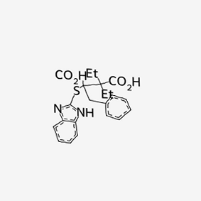 CCC(CC)(C(=O)O)C(Cc1ccccc1)(Sc1nc2ccccc2[nH]1)C(=O)O